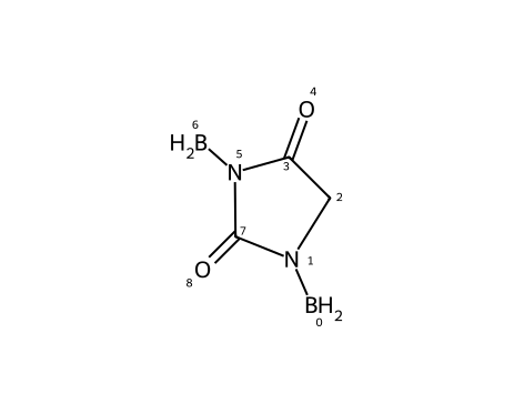 BN1CC(=O)N(B)C1=O